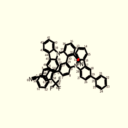 N#Cc1ccc(-c2ccc(-n3c4ccccc4c4cc(-c5ccccc5)ccc43)c(-c3c(C#N)cccc3-n3c4ccccc4c4cc(-c5ccccc5)ccc43)c2)c(C(F)(F)F)c1